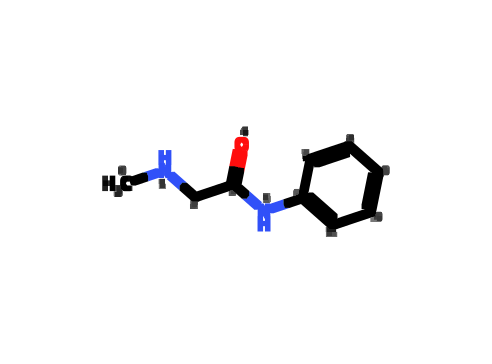 CNCC(=O)Nc1[c]cccc1